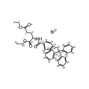 CCOC(=O)CCC(NC(=O)c1ccc(C[P+](c2ccccc2)(c2ccccc2)c2ccccc2)cc1)C(=O)OCC.[Br-]